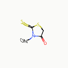 O=NN1C(=O)CSC1=S